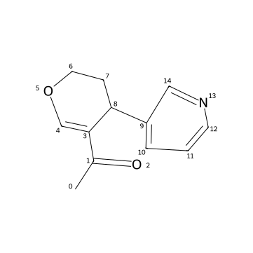 CC(=O)C1=COCCC1c1cccnc1